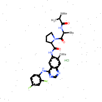 CNC(C)C(=O)NC(C(=O)N1CCCC1C(=O)Nc1cc2c(Nc3ccc(F)cc3F)ncnc2cc1OC)C(C)(C)C.Cl